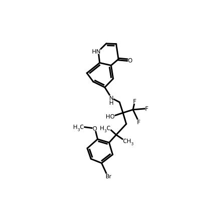 COc1ccc(Br)cc1C(C)(C)CC(O)(CNc1ccc2[nH]ccc(=O)c2c1)C(F)(F)F